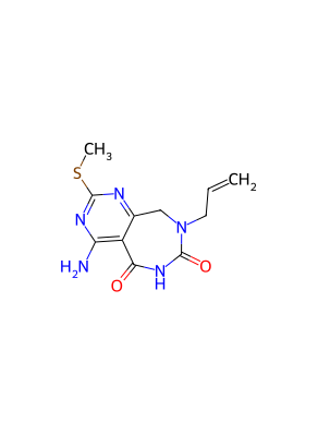 C=CCN1Cc2nc(SC)nc(N)c2C(=O)NC1=O